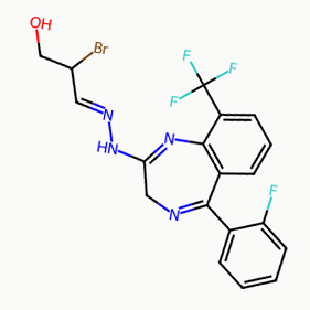 OCC(Br)C=NNC1=Nc2c(cccc2C(F)(F)F)C(c2ccccc2F)=NC1